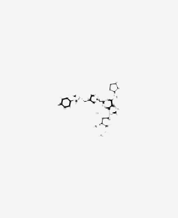 O=S(=O)(NCc1cnn(-c2nc(NC3CCCC3)c3ncn([C@@H]4O[C@H](CO)C(O)C4O)c3n2)c1)c1ccc(F)cc1